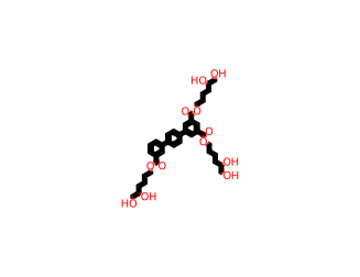 O=C(OCCCCC(O)CO)c1cccc(-c2ccc(-c3cc(C(=O)OCCCCC(O)CO)cc(C(=O)OCCCCC(O)CO)c3)cc2)c1